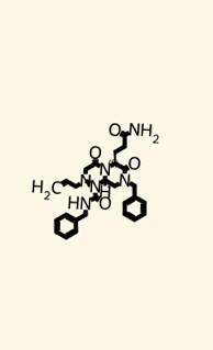 C=CCN1CC(=O)N2[C@@H](CCC(N)=O)C(=O)N(Cc3ccccc3)C[C@@H]2N1C(=O)NCc1ccccc1